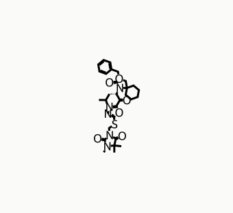 CC(C)C[C@@H](C(=O)c1nnc(SCN2C(=O)N(C)C(C)(C)C2=O)o1)N(C=O)C1(COCc2ccccc2)CCCCC1